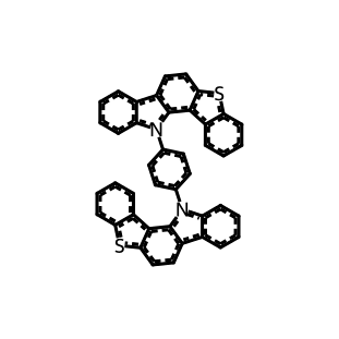 c1ccc2c(c1)sc1ccc3c4ccccc4n(-c4ccc(-n5c6ccccc6c6ccc7sc8ccccc8c7c65)cc4)c3c12